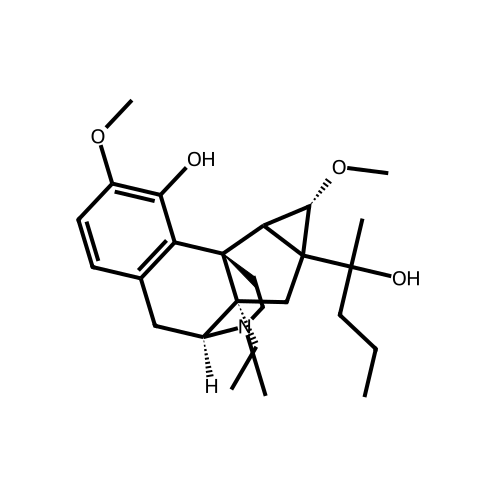 CCCC(C)(O)C12C[C@@]3(CC)[C@@H]4Cc5ccc(OC)c(O)c5[C@]3(CCN4C)C1[C@@H]2OC